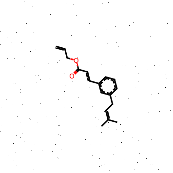 C=CCOC(=O)C=Cc1cccc(CC=C(C)C)c1